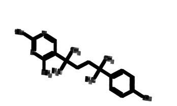 CC(C)(C)c1ccc(C(C)(C)CCC(C)(C)c2cnc(C(C)(C)C)nc2N)cc1